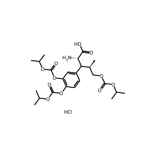 CC(C)OC(=O)OC[C@H](C)C(c1ccc(OC(=O)OC(C)C)c(OC(=O)OC(C)C)c1)[C@H](N)C(=O)O.Cl